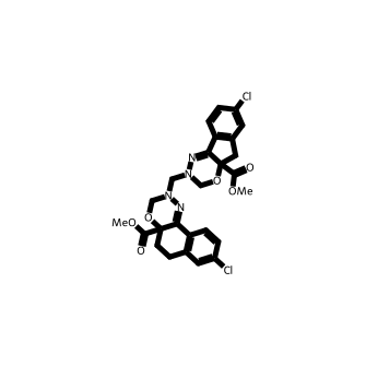 COC(=O)C12CCc3cc(Cl)ccc3C1=NN(CN1COC3(C(=O)OC)Cc4cc(Cl)ccc4C3=N1)CO2